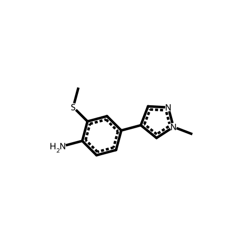 CSc1cc(-c2cnn(C)c2)ccc1N